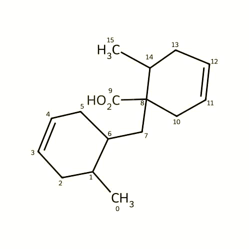 CC1CC=CCC1CC1(C(=O)O)CC=CCC1C